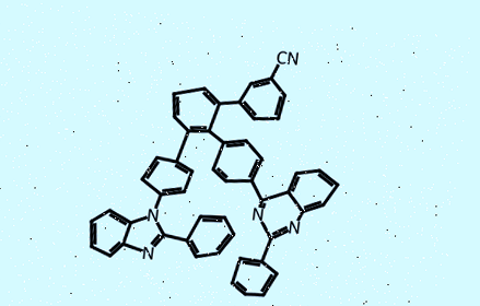 N#Cc1cccc(-c2cccc(-c3ccc(-n4c(-c5ccccc5)nc5ccccc54)cc3)c2-c2ccc(-c3nc(-c4ccccc4)nc4ccccc34)cc2)c1